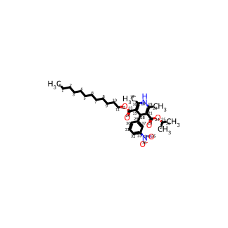 CCCCCCCCCCCCOC(=O)C1=C(C)NC(C)=C(C(=O)OC(C)C)C1c1cccc([N+](=O)[O-])c1